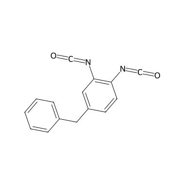 O=C=Nc1ccc(Cc2ccccc2)cc1N=C=O